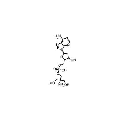 Nc1ncnc2c1ncn2[C@H]1CC(O)[C@@H](COP(=O)(O)OCC(N)(CO)CO)O1